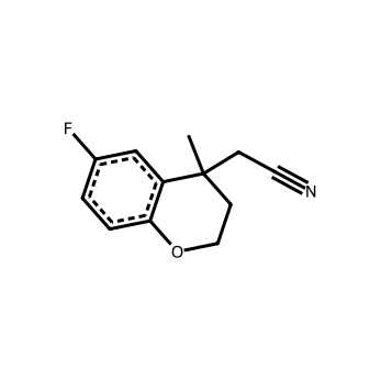 CC1(CC#N)CCOc2ccc(F)cc21